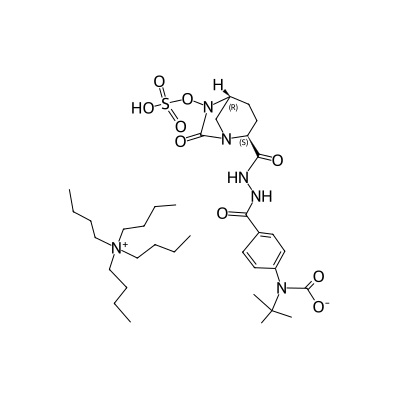 CC(C)(C)N(C(=O)[O-])c1ccc(C(=O)NNC(=O)[C@@H]2CC[C@@H]3CN2C(=O)N3OS(=O)(=O)O)cc1.CCCC[N+](CCCC)(CCCC)CCCC